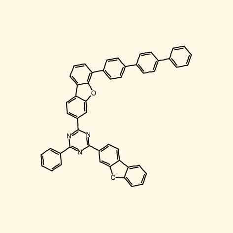 c1ccc(-c2ccc(-c3ccc(-c4cccc5c4oc4cc(-c6nc(-c7ccccc7)nc(-c7ccc8c(c7)oc7ccccc78)n6)ccc45)cc3)cc2)cc1